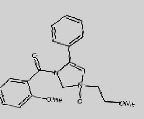 COCC[N+]1([O-])C=C(c2ccccc2)N(C(=O)c2ccccc2OC)C1